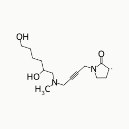 CN(CC#CCN1CC[CH]C1=O)CC(O)CCCCO